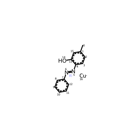 Cc1ccc(/N=N/c2ccccc2)c(O)c1.[Cu]